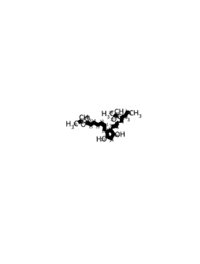 CCCCC[C@@H](/C=C/[C@@H]1[C@@H](C/C=C\CCCC(=O)OC(C)C)[C@@H](O)C[C@H]1O)OC(C)(C)C